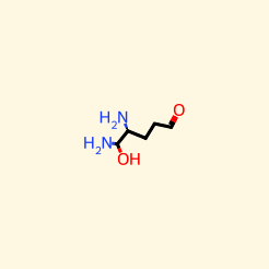 NC(O)[C@@H](N)CCC=O